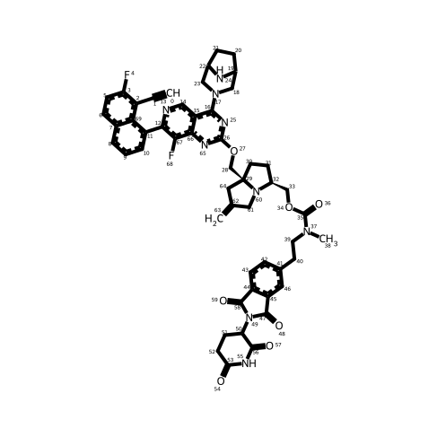 C#Cc1c(F)ccc2cccc(-c3ncc4c(N5CC6CCC(C5)N6)nc(OC[C@@]56CC[C@@H](COC(=O)N(C)CCc7ccc8c(c7)C(=O)N(C7CCC(=O)NC7=O)C8=O)N5CC(=C)C6)nc4c3F)c12